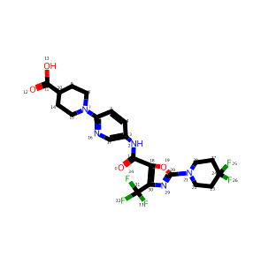 O=C(Nc1ccc(N2CCC(C(=O)O)CC2)nc1)c1oc(N2CCC(F)(F)CC2)nc1C(F)(F)F